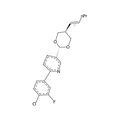 CCC/C=C/[C@H]1CO[C@H](c2ccc(-c3ccc(Cl)c(F)c3)nc2)OC1